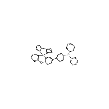 c1ccc(P(c2ccccc2)c2ccc(-c3ccc4c(c3)C3(c5ccccc5O4)c4ccccc4-c4ccccc43)cc2)cc1